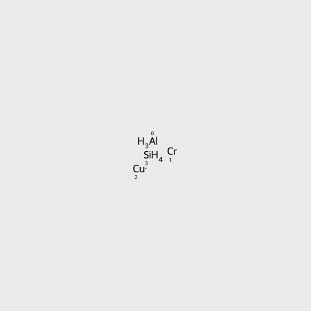 [AlH3].[Cr].[Cu].[SiH4]